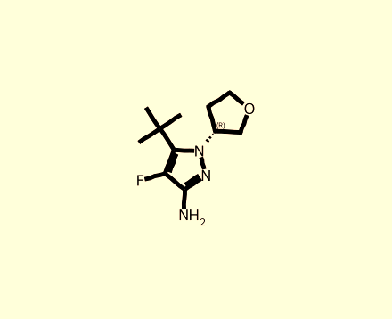 CC(C)(C)c1c(F)c(N)nn1[C@@H]1CCOC1